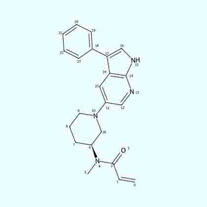 C=CC(=O)N(C)[C@H]1CCCN(c2cnc3[nH]cc(-c4ccccc4)c3c2)C1